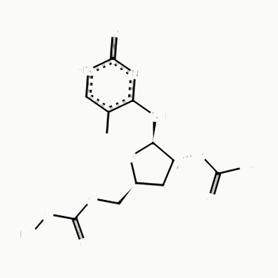 COC(=O)OC[C@@H]1C[C@@H](OC(C)=O)[C@H](Nc2nc(=O)[nH]cc2I)O1